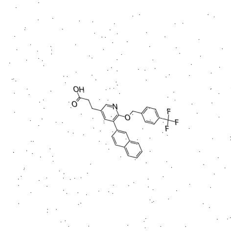 O=C(O)CCc1cnc(OCc2ccc(C(F)(F)F)cc2)c(-c2ccc3ccccc3c2)c1